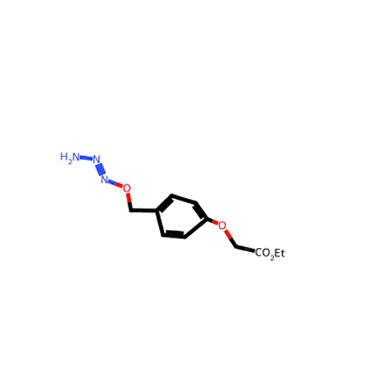 CCOC(=O)COc1ccc(CON=NN)cc1